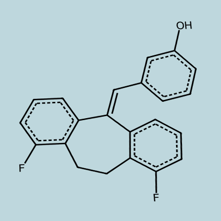 Oc1cccc(C=C2c3cccc(F)c3CCc3c(F)cccc32)c1